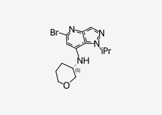 CC(C)n1ncc2nc(Br)cc(N[C@H]3CCCOC3)c21